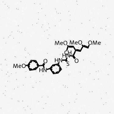 CO/C=C(/C=C(\C=C(/C)OC)C(=O)NC(=S)Nc1cccc(NC(=O)c2ccc(OC)cc2)c1)OC